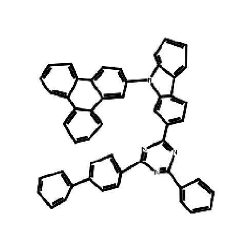 c1ccc(-c2ccc(-c3nc(-c4ccccc4)nc(-c4ccc5c6ccccc6n(-c6ccc7c8ccccc8c8ccccc8c7c6)c5c4)n3)cc2)cc1